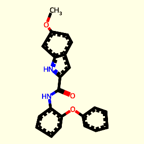 COc1ccc2cc(C(=O)Nc3ccccc3Oc3ccccc3)[nH]c2c1